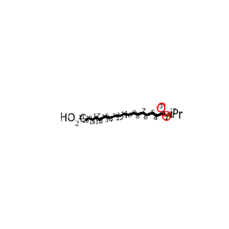 CC(C)OC(=O)CCCCCCCCCCCCCCCCCC(=O)O